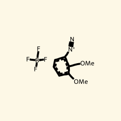 COc1cccc([N+]#N)c1OC.F[B-](F)(F)F